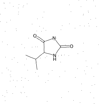 CC(C)C1NC(=O)[N]C1=O